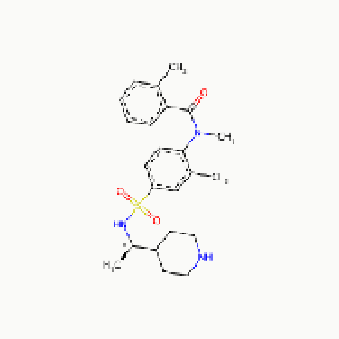 Cc1ccccc1C(=O)N(C)c1ccc(S(=O)(=O)N[C@H](C)C2CCNCC2)cc1C